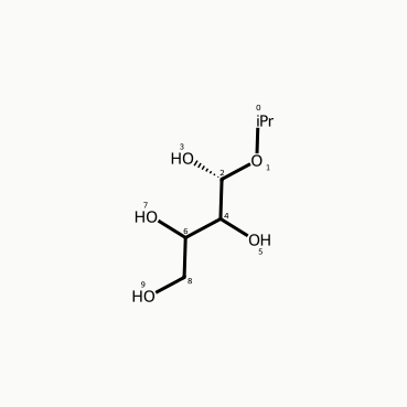 CC(C)O[C@@H](O)C(O)C(O)CO